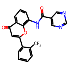 O=C(Nc1cccc2c(=O)cc(-c3ccccc3C(F)(F)F)oc12)c1cncnc1